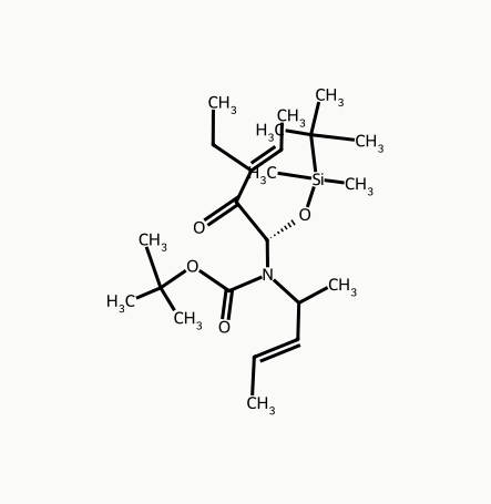 CC=CC(C)N(C(=O)OC(C)(C)C)[C@@H](O[Si](C)(C)C(C)(C)C)C(=O)C(=CC)CC